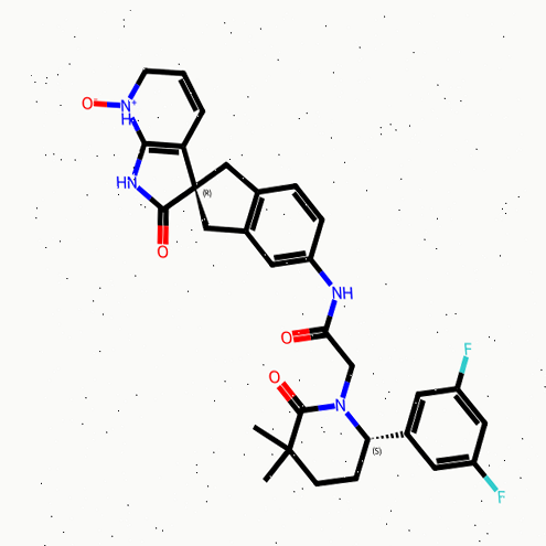 CC1(C)CC[C@@H](c2cc(F)cc(F)c2)N(CC(=O)Nc2ccc3c(c2)C[C@@]2(C3)C(=O)NC3=C2C=CC[NH+]3[O-])C1=O